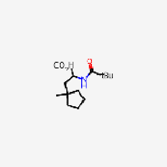 CC1(CC(NC(=O)C(C)(C)C)C(=O)O)CCCC1